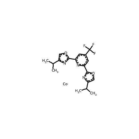 CC(C)c1coc(-c2cc(C(F)(F)F)cc(-c3nc(C(C)C)co3)n2)n1.[Co]